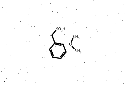 O=S(=O)(O)Cc1ccccc1.[SiH3]O[SiH3]